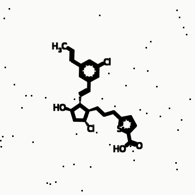 CC=Cc1cc(Cl)cc(C=C[C@@H]2[C@@H](CCCc3ccc(C(=O)O)s3)[C@H](Cl)C[C@H]2O)c1